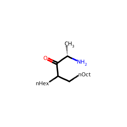 [CH2]CCCCCC(CCCCCCCCC)C(=O)[C@H](C)N